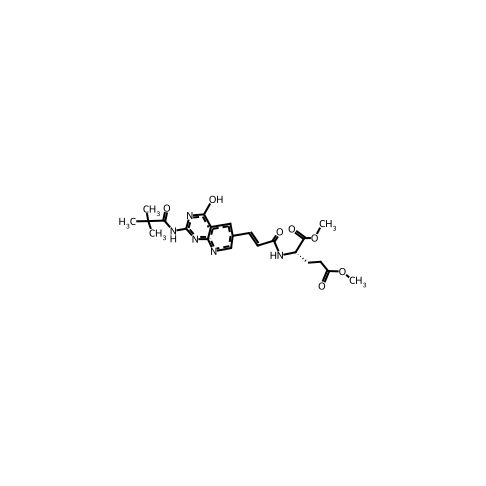 COC(=O)CC[C@H](NC(=O)C=Cc1cnc2nc(NC(=O)C(C)(C)C)nc(O)c2c1)C(=O)OC